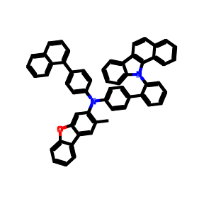 Cc1cc2c(cc1N(c1ccc(-c3ccccc3-n3c4ccccc4c4ccc5ccccc5c43)cc1)c1ccc(-c3cccc4ccccc34)cc1)oc1ccccc12